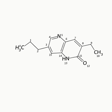 CCCc1cnc2cc(CC)c(=O)[nH]c2c1